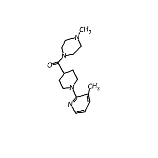 Cc1cccnc1N1CCC(C(=O)N2CCN(C)CC2)CC1